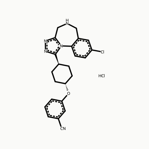 Cl.N#Cc1cccc(O[C@H]2CC[C@H](c3nnc4n3-c3ccc(Cl)cc3CNC4)CC2)c1